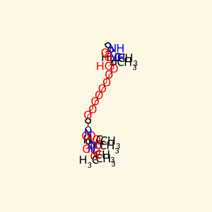 CC(C)(C)OC(=O)CN1CN(C(=O)OC(C)(C)C)c2cc(S(=O)(=O)N3CCC(c4ccc(OCCOCCOCCOCCOCCOCCOCCOc5cc(C(C)(C)C)c(NC(=O)c6c[nH]c7ccccc7c6=O)cc5O)cc4)CC3)ccc2C1=O